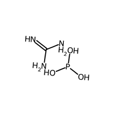 N=C(N)N.OP(O)O